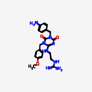 COc1ccc(Cn2c(NCCNC(=N)N)nc(=O)n(Cc3ccc(N)cc3)c2=O)cc1